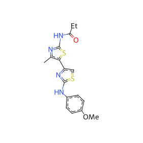 CCC(=O)Nc1nc(C)c(-c2csc(Nc3ccc(OC)cc3)n2)s1